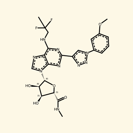 CNC(=O)[C@H]1O[C@@H](n2cnc3c(NCC(C)(F)F)nc(-c4cn(-c5cccc(OC)c5)nn4)nc32)[C@H](O)[C@@H]1O